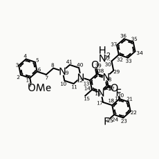 COc1ccccc1CCN1CCN(c2c(C)n(Cc3c(F)cccc3F)c(=O)n(C[C@H](N)c3ccccc3)c2=O)CC1